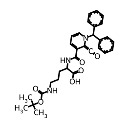 CC(C)(C)OC(=O)NCCCC(NC(=O)C1=CC=CN(C(c2ccccc2)c2ccccc2)C1=C=O)C(=O)O